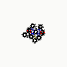 N#Cc1c(-n2c3ccccc3c3ccccc32)c(-n2c3ccccc3c3ccccc32)c(C#N)c(-n2c3cccc(-c4ccccc4C(F)(F)F)c3c3ccc4c5ccccc5sc4c32)c1-n1c2ccccc2c2ccccc21